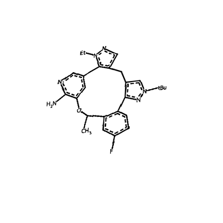 CCn1ncc2c1-c1cnc(N)c(c1)OC(C)c1cc(F)ccc1-c1nn(C(C)(C)C)cc1C2